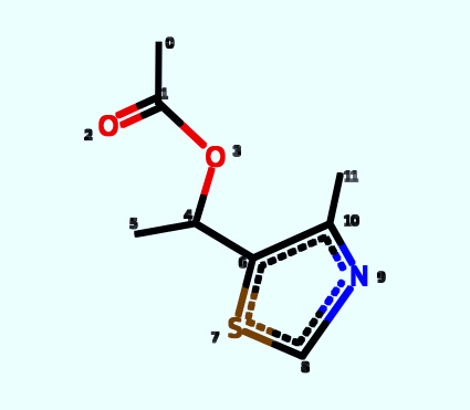 CC(=O)OC(C)c1scnc1C